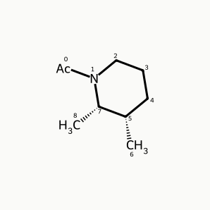 CC(=O)N1CCC[C@H](C)[C@@H]1C